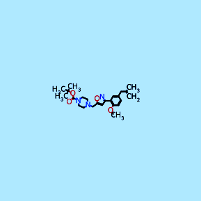 C=C(C)Cc1ccc(OC)c(-c2cc(CN3CCN(C(=O)OC(C)(C)C)CC3)on2)c1